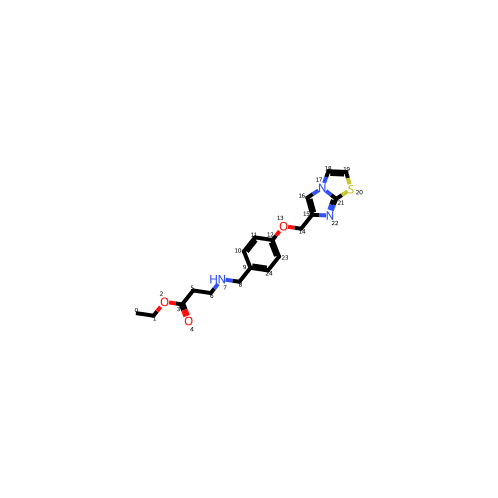 CCOC(=O)CCNCc1ccc(OCc2cn3ccsc3n2)cc1